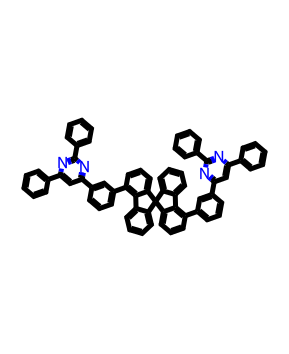 c1ccc(-c2cc(-c3cccc(-c4cccc5c4-c4ccccc4C54c5ccccc5-c5c(-c6cccc(-c7cc(-c8ccccc8)nc(-c8ccccc8)n7)c6)cccc54)c3)nc(-c3ccccc3)n2)cc1